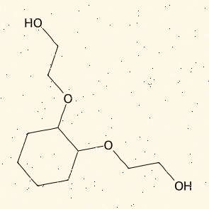 OCCOC1CCCCC1OCCO